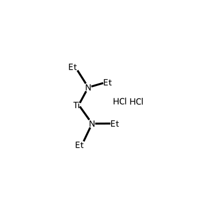 CC[N](CC)[Ti][N](CC)CC.Cl.Cl